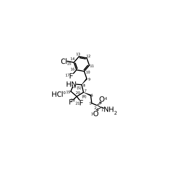 Cl.NS(=O)(=O)CC[C@@H]1[C@H](Cc2cccc(Cl)c2F)NCC1(F)F